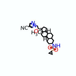 C[C@]12CC[C@@H]3C4CCC(NS(=O)(=O)C5CC5)CC4CCC3[C@@H]1CC[C@@H]2C(=O)Cn1cc(C#N)cn1